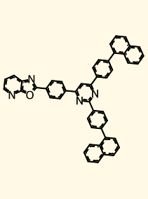 c1ccc2c(-c3ccc(-c4cc(-c5ccc(-c6nc7cccnc7o6)cc5)nc(-c5ccc(-c6cccc7ccccc67)cc5)n4)cc3)cccc2c1